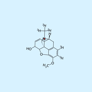 [2H]c1c([2H])c(OC)c2c3c1C[C@@H]1[C@@H]4C=CC(O)C(O2)[C@]34CCN1C([2H])([2H])[2H]